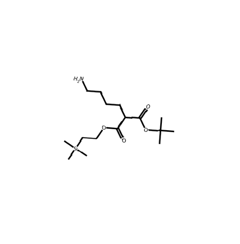 CC(C)(C)OC(=O)C(CCCCN)C(=O)OCC[Si](C)(C)C